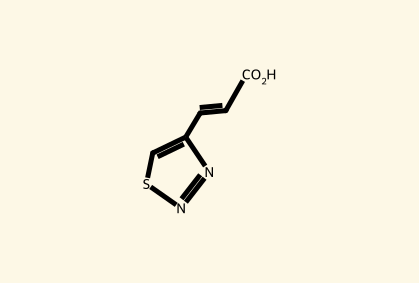 O=C(O)/C=C/c1csnn1